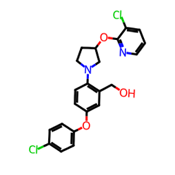 OCc1cc(Oc2ccc(Cl)cc2)ccc1N1CCC(Oc2ncccc2Cl)C1